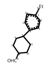 CCc1ccc(C2CCC(C=O)CC2)cc1